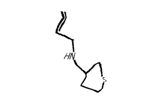 C=CCNC1CCSC1